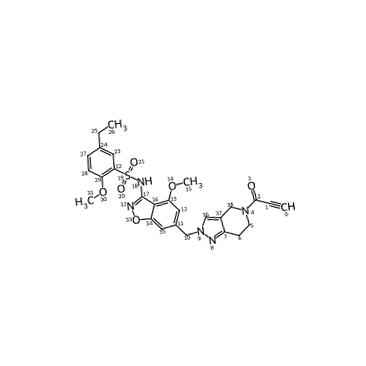 C#CC(=O)N1CCc2nn(Cc3cc(OC)c4c(NS(=O)(=O)c5cc(CC)ccc5OC)noc4c3)cc2C1